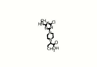 CCC(C(=O)O)N1CCN(c2nc(Cl)nc(NC)n2)CC1